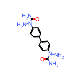 NC(=O)N(N)c1ccc(-c2ccc(N(N)C(N)=O)cc2)cc1